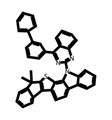 CC1(C)c2ccccc2-c2c1sc1c2ccc2c3ccccc3n(-c3nc(-c4cccc(-c5ccccc5)c4)c4ccccc4n3)c21